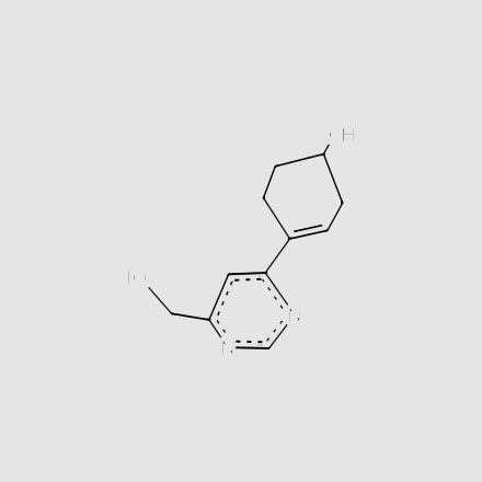 CC1CC=C(c2cc(CO)ncn2)CC1